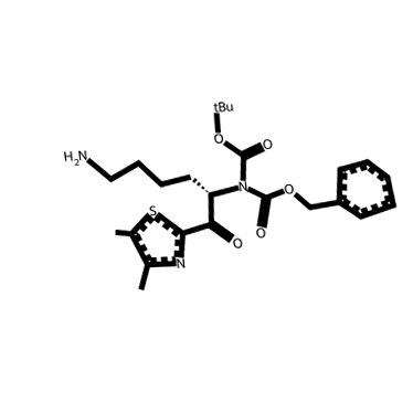 Cc1nc(C(=O)[C@H](CCCCN)N(C(=O)OCc2ccccc2)C(=O)OC(C)(C)C)sc1C